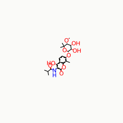 CO[C@@H]1[C@@H](O)[C@@H](O)[C@H](Oc2ccc3c(O)c(NC(=O)C(C)C)c(=O)oc3c2C)OC1(C)C